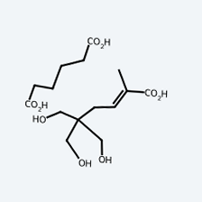 CC(=CCC(CO)(CO)CO)C(=O)O.O=C(O)CCCCC(=O)O